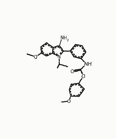 COc1ccc(OC(=O)Nc2cccc(-c3c(N)c4ccc(OC)cc4n3C(C)C)c2)cc1